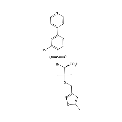 Cc1cc(CSC(C)(C)[C@@H](NS(=O)(=O)c2ccc(-c3ccncc3)cc2S)C(=O)O)no1